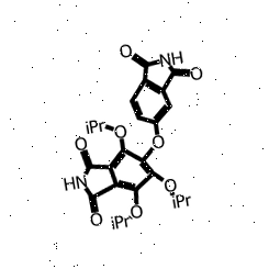 CC(C)Oc1c(Oc2ccc3c(c2)C(=O)NC3=O)c(OC(C)C)c2c(c1OC(C)C)C(=O)NC2=O